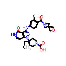 CCC1(n2nc(Nc3ccc(C(=O)N4CC5(COC5)C4)c(C)c3)c3c(=O)[nH]ccc32)CCN(C(=O)O)CC1